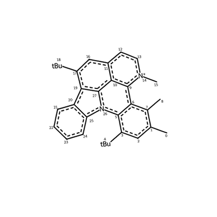 Cc1cc(C(C)(C)C)c2c(c1C)c1c3c(cc[n+]1C)cc(C(C)(C)C)c1c4ccccc4n2c13